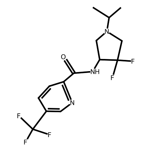 CC(C)N1CC(NC(=O)c2ccc(C(F)(F)F)cn2)C(F)(F)C1